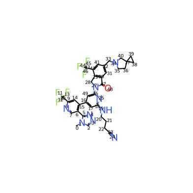 Cn1cnnc1-c1cnc(C(F)(F)F)cc1-c1cc(NCCCC#N)nc(N2Cc3c(cc(CN4CCC5(CC5)C4)cc3C(F)(F)F)C2=O)c1